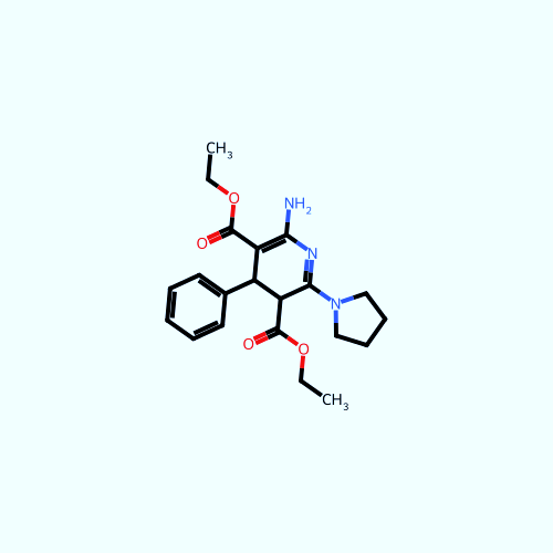 CCOC(=O)C1=C(N)N=C(N2CCCC2)C(C(=O)OCC)C1c1ccccc1